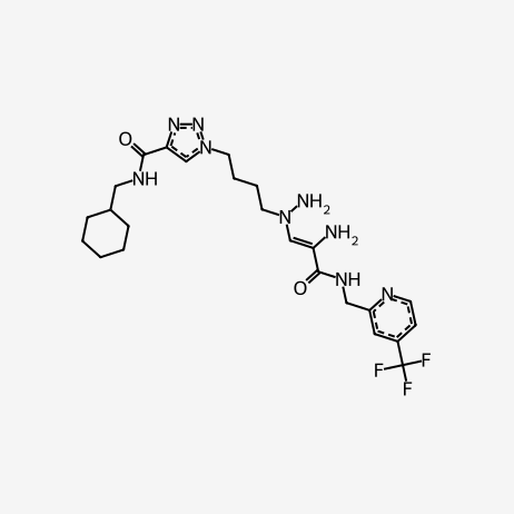 N/C(=C\N(N)CCCCn1cc(C(=O)NCC2CCCCC2)nn1)C(=O)NCc1cc(C(F)(F)F)ccn1